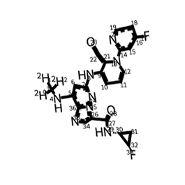 [2H]C([2H])([2H])Nc1cc(NC2=CC=CN(c3cc(F)ccn3)C2=C=O)nn2c(C(=O)N[C@@H]3C[C@@H]3F)cnc12